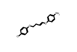 Nc1ccc(OC=CCCOc2ccc(Cl)cc2)cc1